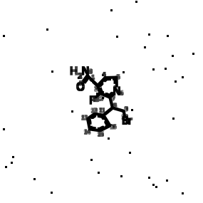 NC(=O)c1ccnc(C(CBr)c2ccccc2)c1F